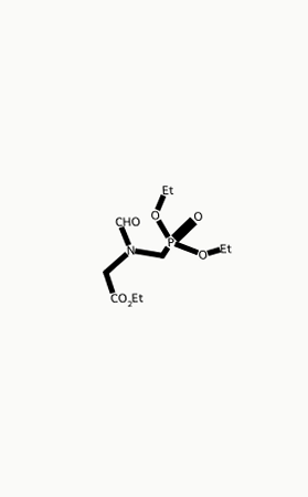 CCOC(=O)CN(C=O)CP(=O)(OCC)OCC